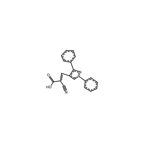 N#CC(=Cc1cn(-c2ccccc2)nc1-c1ccccc1)C(=O)O